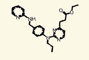 CCCN(c1ccc(CNc2ccccn2)cc1)c1nccc(CCC(=O)OCC)n1